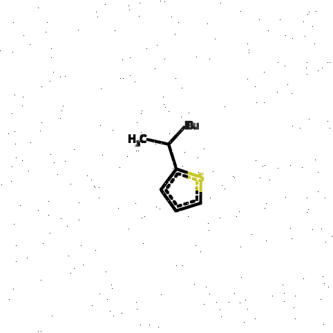 CCC(C)C(C)c1cccs1